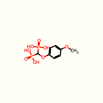 COc1ccc(OC(P(=O)(O)O)P(=O)(O)O)cc1